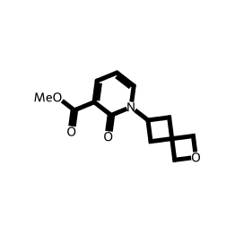 COC(=O)c1cccn(C2CC3(COC3)C2)c1=O